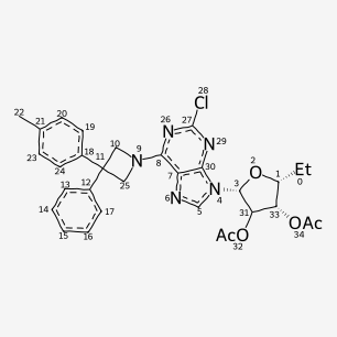 CC[C@H]1O[C@@H](n2cnc3c(N4CC(c5ccccc5)(c5ccc(C)cc5)C4)nc(Cl)nc32)C(OC(C)=O)[C@H]1OC(C)=O